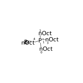 CCCCCCCC[P+](CCCCCCCC)(CCCCCCCC)CCCCCCCC.[Br-]